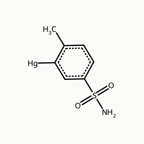 Cc1ccc(S(N)(=O)=O)c[c]1[Hg]